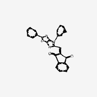 O=C1C(=Cc2nc3oc(-c4ccccc4)nc3n2-c2ccccc2)C(=O)c2ccccc21